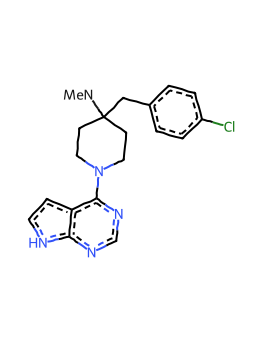 CNC1(Cc2ccc(Cl)cc2)CCN(c2ncnc3[nH]ccc23)CC1